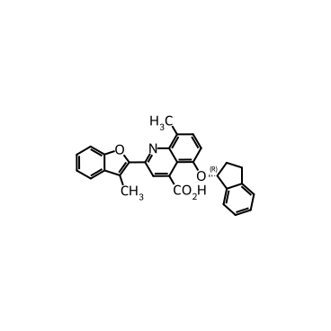 Cc1c(-c2cc(C(=O)O)c3c(O[C@@H]4CCc5ccccc54)ccc(C)c3n2)oc2ccccc12